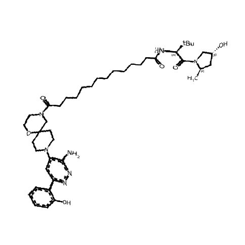 C[C@@H]1C[C@@H](O)CN1C(=O)[C@@H](NC(=O)CCCCCCCCCCCCC(=O)N1CCOC2(CCN(c3cc(-c4ccccc4O)nnc3N)CC2)C1)C(C)(C)C